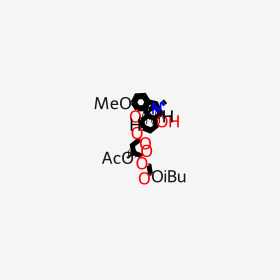 COc1ccc2c3c1O[C@H]1C(OC(=O)C[C@H](OC(C)=O)C(=O)OCC(=O)OCC(C)C)=CC[C@@]4(O)[C@@H](C2)N(C)CC[C@]314